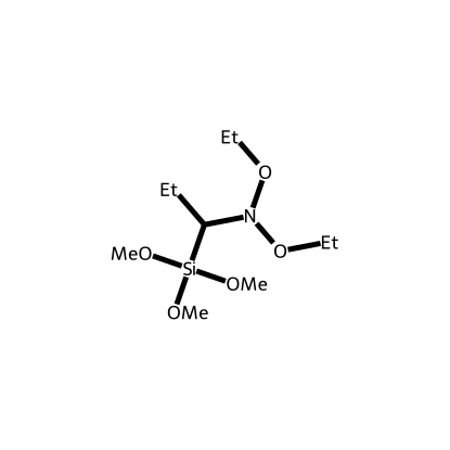 CCON(OCC)C(CC)[Si](OC)(OC)OC